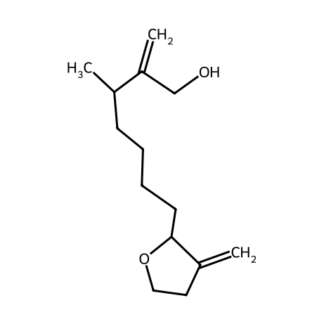 C=C(CO)C(C)CCCCC1OCCC1=C